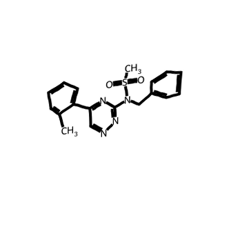 Cc1ccccc1-c1cnnc(N(Cc2ccccc2)S(C)(=O)=O)n1